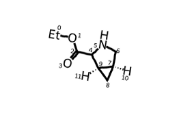 CCOC(=O)C1NC[C@H]2C[C@@H]12